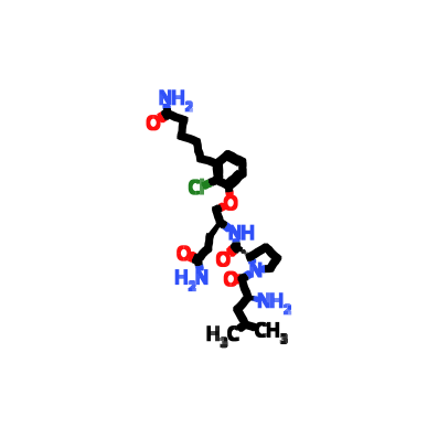 CC(C)C[C@H](N)C(=O)N1CCC[C@H]1C(=O)N[C@@H](CCC(N)=O)COc1cccc(CCCCC(N)=O)c1Cl